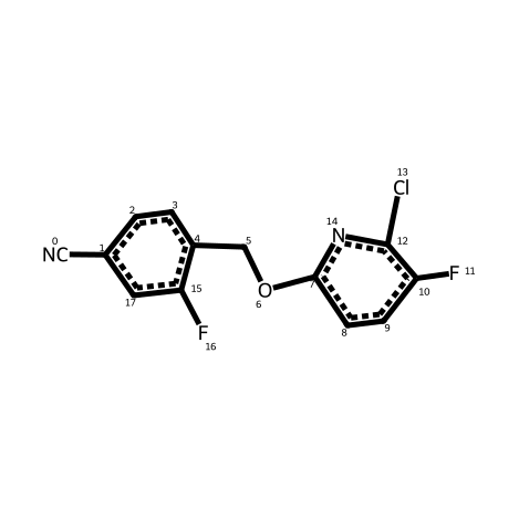 N#Cc1ccc(COc2ccc(F)c(Cl)n2)c(F)c1